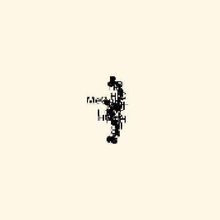 COc1ccc(OC[C@H]2O[C@@H](n3cnc4c(=O)[nH]c(NC(=O)CCNC(=O)c5ccc(CNC(=O)OCC6c7ccccc7-c7ccccc76)cc5)nc43)CC2O[PH](O)(OCCC#N)OC[C@H]2O[C@@H](N3C=CC(NC(=O)CCCN(C)C(=O)OCC4c5ccccc5-c5ccccc54)=NC3O)CC2O)cc1